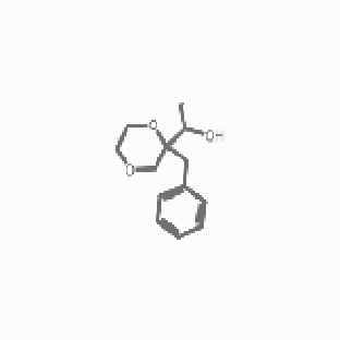 [CH2]C(O)C1(Cc2ccccc2)COCCO1